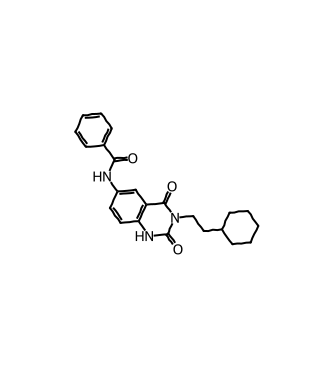 O=C(Nc1ccc2[nH]c(=O)n(CCC3CCCCC3)c(=O)c2c1)c1ccccc1